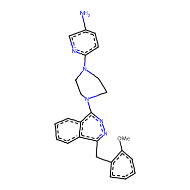 COc1ccccc1Cc1nnc(N2CCN(c3ccc(N)cn3)CC2)c2ccccc12